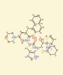 NC1([C@H](O)[C@H](CC2CCCCC2)NC(=O)[C@H](Cc2c[nH]cn2)NC(=O)[C@@H](CC(=O)N2CCOCC2)Cc2cccc3ccccc23)CC=CS1